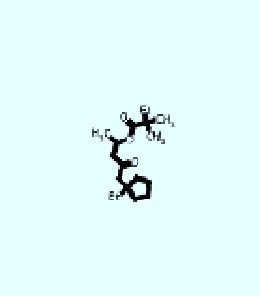 CCC1(CC(=O)CC(C)OC(=O)C(C)(C)CC)CCCC1